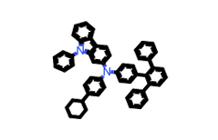 c1ccc(-c2cccc(-c3ccccc3)c2-c2ccc(N(c3ccc(C4CCCCC4)cc3)c3ccc4c5ccccc5n(-c5ccccc5)c4c3)cc2)cc1